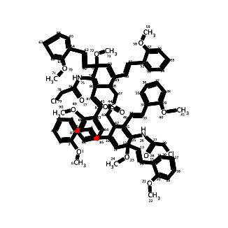 COc1ccccc1/C=C/C1=CC(/C=C/c2ccccc2OC)(OC)C(NC(=O)CCl)=C(/C=C/c2ccccc2OC)C1CS(=O)(=O)CC1C(/C=C/c2ccccc2OC)=CC(/C=C/c2ccccc2OC)(OC)C(NC(=O)CCl)=C1/C=C/c1ccccc1OC